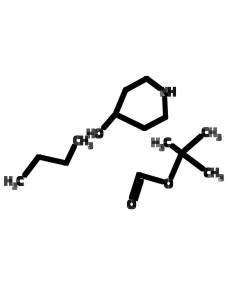 CC(C)(C)OC=O.CCCC.OC1CCNCC1